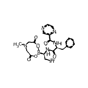 CC(C)C[C@H](NC(=O)[C@H](Cc1ccccc1)NC(=O)c1cnccn1)B1OC(=O)CN(C)CC(=O)O1